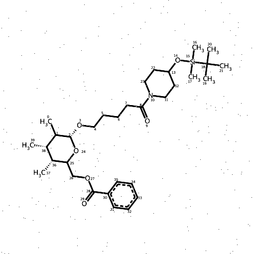 CC1[C@H](OCCCCC(=O)N2CCC(O[Si](C)(C)C(C)(C)C)CC2)OC(COC(=O)c2ccccc2)[C@H](C)[C@@H]1C